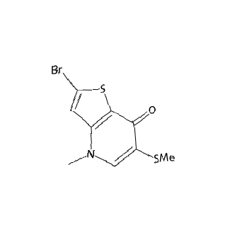 CSc1cn(C)c2cc(Br)sc2c1=O